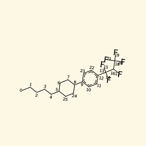 CCCCCC1CCC(c2ccc(C(F)(F)C(F)C(F)(F)F)cc2)CC1